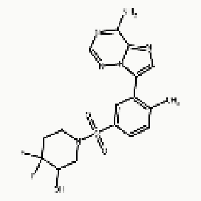 Cc1ccc(S(=O)(=O)N2CCC(F)(F)C(O)C2)cc1-c1cnc2c(N)ncnn12